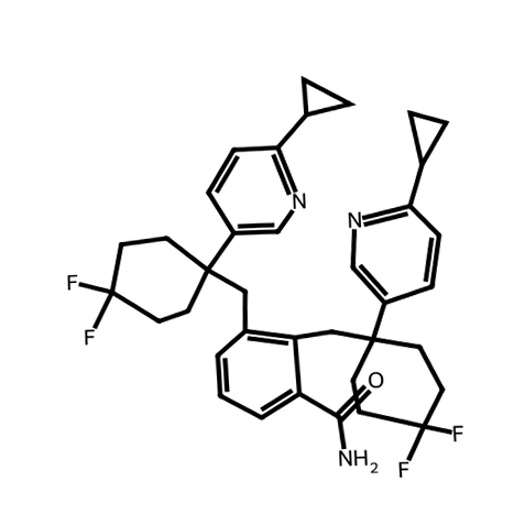 NC(=O)c1cccc(CC2(c3ccc(C4CC4)nc3)CCC(F)(F)CC2)c1CC1(c2ccc(C3CC3)nc2)CCC(F)(F)CC1